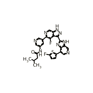 CC(C)CC(=O)Nc1cncc(-c2ncc3[nH]nc(-c4nc5c(-c6ccc(F)s6)cncc5[nH]4)c3c2F)c1